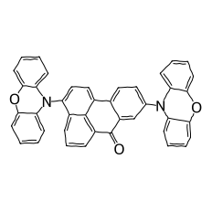 O=C1c2cc(N3c4ccccc4Oc4ccccc43)ccc2-c2ccc(N3c4ccccc4Oc4ccccc43)c3cccc1c23